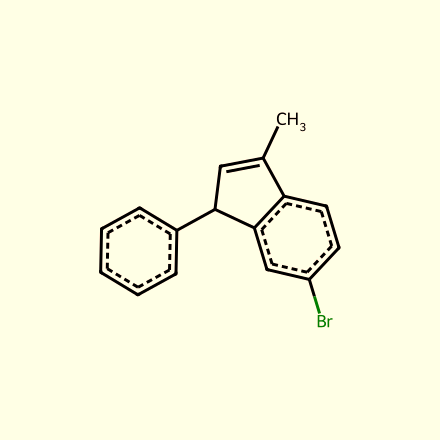 CC1=CC(c2ccccc2)c2cc(Br)ccc21